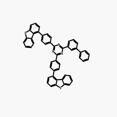 c1ccc(-c2cccc(-c3nc(-c4ccc(-c5cccc6sc7ccccc7c56)cc4)nc(-c4ccc(-c5cccc6sc7ccccc7c56)cc4)n3)c2)cc1